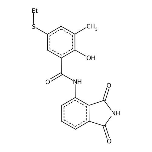 CCSc1cc(C)c(O)c(C(=O)Nc2cccc3c2C(=O)NC3=O)c1